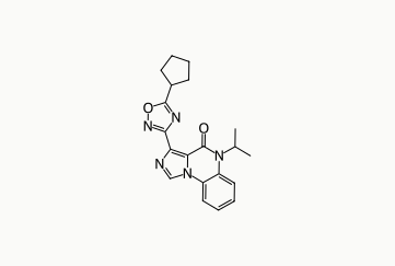 CC(C)n1c(=O)c2c(-c3noc(C4CCCC4)n3)ncn2c2ccccc21